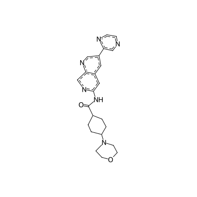 O=C(Nc1cc2cc(-c3cnccn3)cnc2cn1)C1CCC(N2CCOCC2)CC1